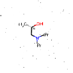 [CH2][C@H](O)CN(C(C)C)C(C)C